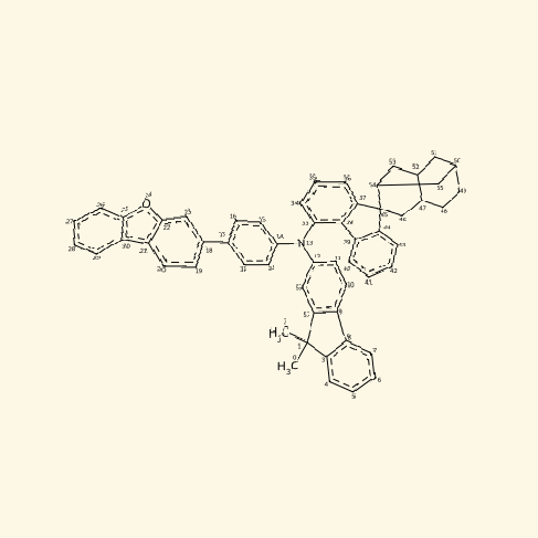 CC1(C)c2ccccc2-c2ccc(N(c3ccc(-c4ccc5c(c4)oc4ccccc45)cc3)c3cccc4c3-c3ccccc3C43CC4CCC5CC4CC3C5)cc21